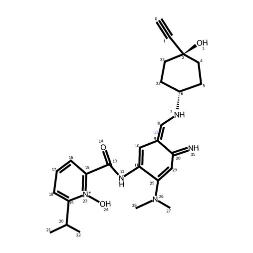 C#C[C@]1(O)CC[C@H](N/C=C2/C=C(NC(=O)c3cccc(C(C)C)[n+]3O)C(N(C)C)=CC2=N)CC1